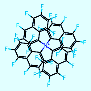 Fc1c(F)c(F)c2c([N+](c3c(F)c(F)c(F)c4c(F)c(F)c(F)c(F)c34)(c3c(F)c(F)c(F)c4c(F)c(F)c(F)c(F)c34)c3c(F)c(F)c(F)c4c(F)c(F)c(F)c(F)c34)c(F)c(F)c(F)c2c1F